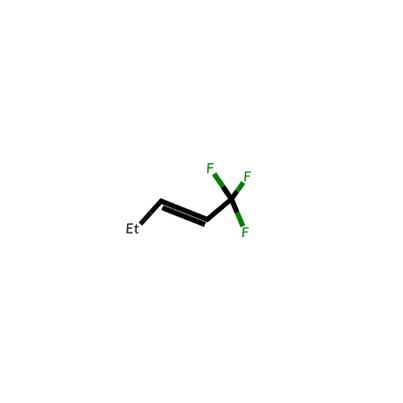 CCC=CC(F)(F)F